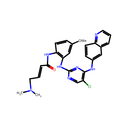 COc1ccc(NC(=O)/C=C/CN(C)C)c(Nc2ncc(Cl)c(Nc3ccc4ncccc4c3)n2)c1